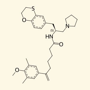 C=C(CCCCC(=O)N[C@@H](Cc1ccc2c(c1)SCCO2)CN1CCCC1)c1cc(C)c(OC)c(C)c1